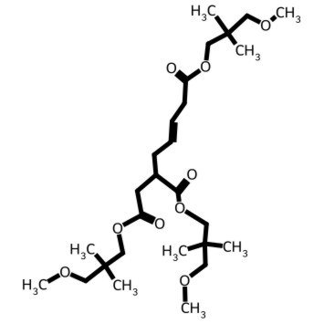 COCC(C)(C)COC(=O)CC=CCC(CC(=O)OCC(C)(C)COC)C(=O)OCC(C)(C)COC